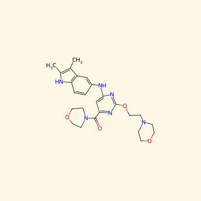 Cc1[nH]c2ccc(Nc3cc(C(=O)N4CCOCC4)nc(OCCN4CCOCC4)n3)cc2c1C